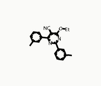 CCOc1nc(-c2cccc(C)c2)nc(-c2cccc(C)c2)c1C#N